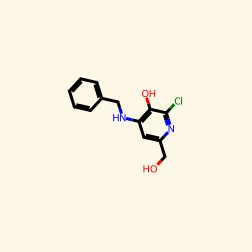 OCc1cc(NCc2ccccc2)c(O)c(Cl)n1